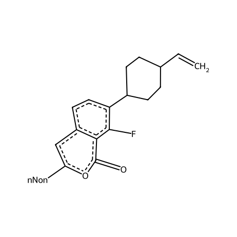 C=CC1CCC(c2ccc3cc(CCCCCCCCC)oc(=O)c3c2F)CC1